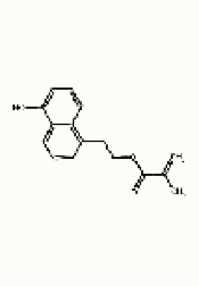 C=C(C)C(=O)OCCc1cccc2c(O)cccc12